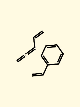 C=C=CC=C.C=Cc1ccccc1